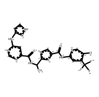 CC(NC(=O)c1cc(Nc2cc[nH]n2)ncn1)c1ncc(C(=O)Nc2cc(C(F)(F)F)c(Cl)cn2)s1